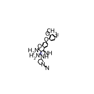 COc1cc(F)ccc1Oc1ccc(C(=N)/C(C(N)=O)=C(/N)NC2CCCN(C#N)C2)cc1